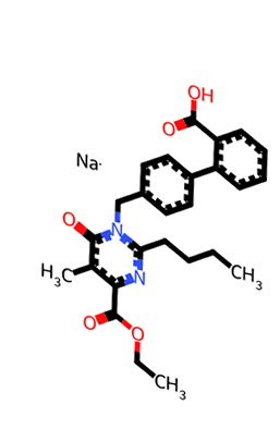 CCCCc1nc(C(=O)OCC)c(C)c(=O)n1Cc1ccc(-c2ccccc2C(=O)O)cc1.[Na]